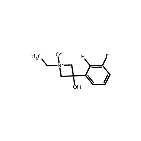 CC[N+]1([O-])CC(O)(c2cccc(F)c2F)C1